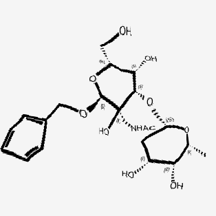 CC(=O)N[C@]1(O)[C@@H](OCc2ccccc2)O[C@H](CO)[C@H](O)[C@@H]1O[C@H]1C[C@@H](O)[C@@H](O)[C@@H](C)O1